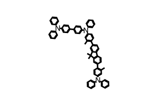 Cc1cc(N(c2ccccc2)c2ccccc2)ccc1-c1ccc2c(c1)C(C)(C)c1cc(-c3ccc(N(c4ccccc4)c4ccc(-c5ccc(N(c6ccccc6)c6ccccc6)cc5)cc4)cc3C)ccc1-2